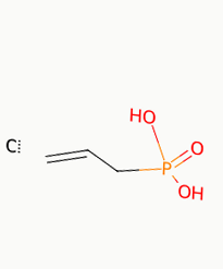 C=CCP(=O)(O)O.[C]